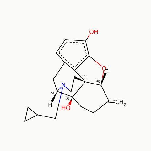 C=C1CC[C@]2(O)[C@@H]3Cc4ccc(O)c5c4[C@]2(CCN3CC2CC2)[C@@H]1O5